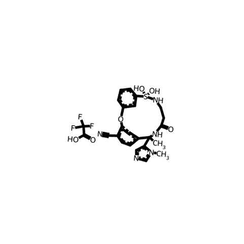 Cn1cncc1C1(C)NC(=O)CCNS(O)(O)c2cccc(c2)Oc2cc1ccc2C#N.O=C(O)C(F)(F)F